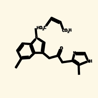 Cc1ccc2c(c1)c(CC(=O)Cc1nc[nH]c1C)cn2C.O=C(O)/C=C\C(=O)O